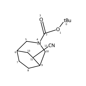 CC(C)(C)OC(=O)N1CC2CCC(C1)C(C#N)C2